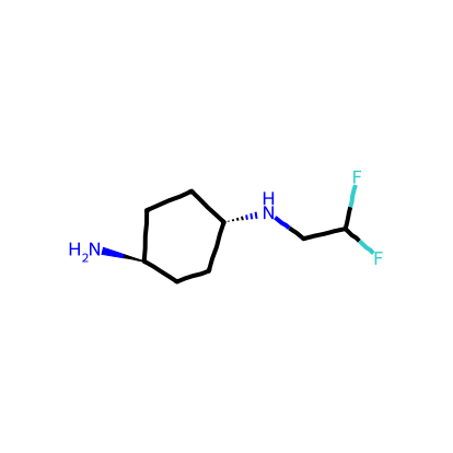 N[C@H]1CC[C@H](NCC(F)F)CC1